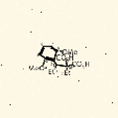 CCC(c1c(OC)cccc1OC)C(CC)(C(=O)O)C(=O)O